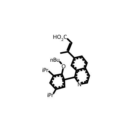 CCCCOc1c(-c2nccc3ccc(/C(C)=C/C(=O)O)cc23)cc(C(C)C)cc1C(C)C